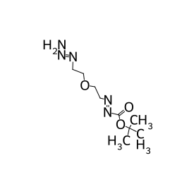 CC(C)(C)OC(=O)N=NCCOCCN=NN